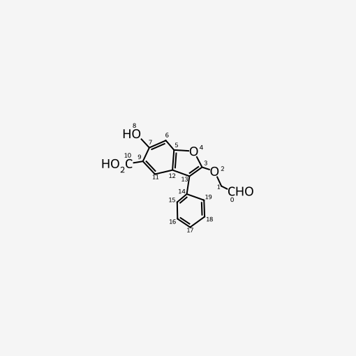 O=CCOc1oc2cc(O)c(C(=O)O)cc2c1-c1ccccc1